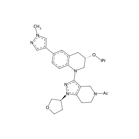 CC(=O)N1CCc2c(c(N3C[C@@H](OC(C)C)Cc4cc(-c5cnn(C)c5)ccc43)nn2[C@H]2CCOC2)C1